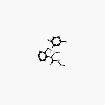 CCNC(=O)C(OC)c1ccccc1COc1cc(C)ccc1C